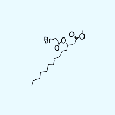 CCCCCCCCCCCC(CC(=O)OC)OC(=O)CBr